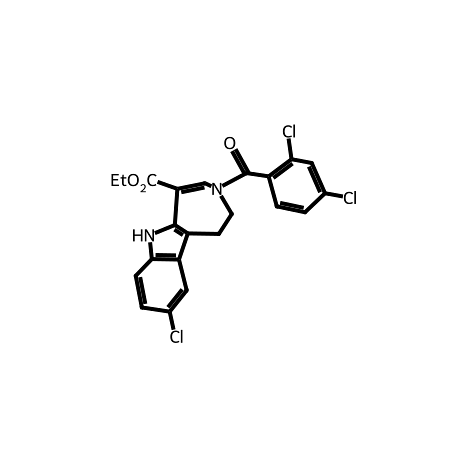 CCOC(=O)C1=CN(C(=O)c2ccc(Cl)cc2Cl)CCc2c1[nH]c1ccc(Cl)cc21